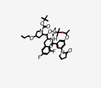 CCCOC1CC(C(O[Si](C)(C)C(C)(C)C)C(Cc2cc(F)cc(F)c2)NC(=O)c2cc(OC(C)C)cc(N3CCCC3=O)c2)N(C(=O)OC(C)(C)C)C1